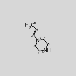 CC=CN1CCNCC1